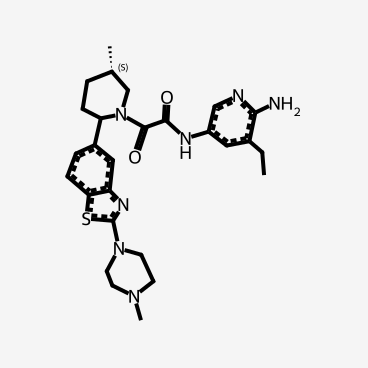 CCc1cc(NC(=O)C(=O)N2C[C@@H](C)CCC2c2ccc3sc(N4CCN(C)CC4)nc3c2)cnc1N